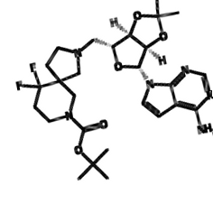 CC(C)(C)OC(=O)N1CCC(F)(F)C2(CCN(C[C@H]3O[C@@H](n4ccc5c(N)ncnc54)[C@@H]4OC(C)(C)O[C@@H]43)C2)C1